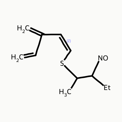 C=CC(=C)/C=C\SC(C)C(CC)N=O